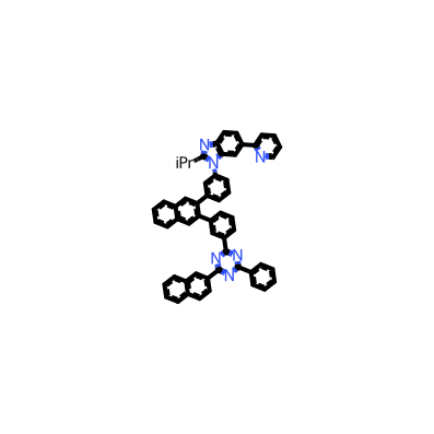 CC(C)c1nc2ccc(-c3ccccn3)cc2n1-c1cccc(-c2cc3ccccc3cc2-c2cccc(-c3nc(-c4ccccc4)nc(-c4ccc5ccccc5c4)n3)c2)c1